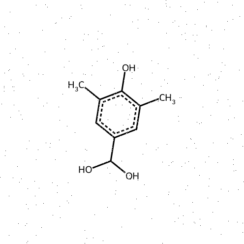 Cc1cc(C(O)O)cc(C)c1O